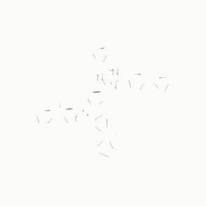 c1ccc(-c2ccc(-c3nc(-c4ccccc4)nc(-c4ccc5c(c4)c4cc6c(cc4n5-c4ccc5c(c4)oc4ccccc45)-c4ccccc4C64CCCCC4)n3)cc2)cc1